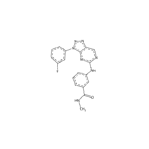 CNC(=O)c1cccc(Nc2ncc3nnn(-c4cccc(F)c4)c3n2)c1